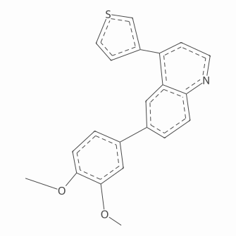 COc1ccc(-c2ccc3nccc(-c4ccsc4)c3c2)cc1OC